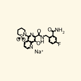 NC(=O)c1cc(F)ccc1CNC(=O)c1nc(N2CCCCS2(=O)=O)c2cccnc2c1[O-].[Na+]